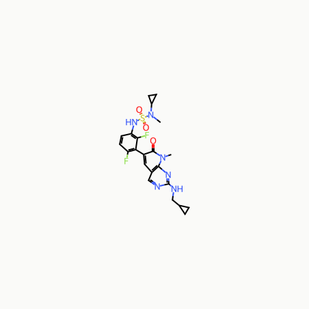 CN(C1CC1)S(=O)(=O)Nc1ccc(F)c(-c2cc3cnc(NCC4CC4)nc3n(C)c2=O)c1F